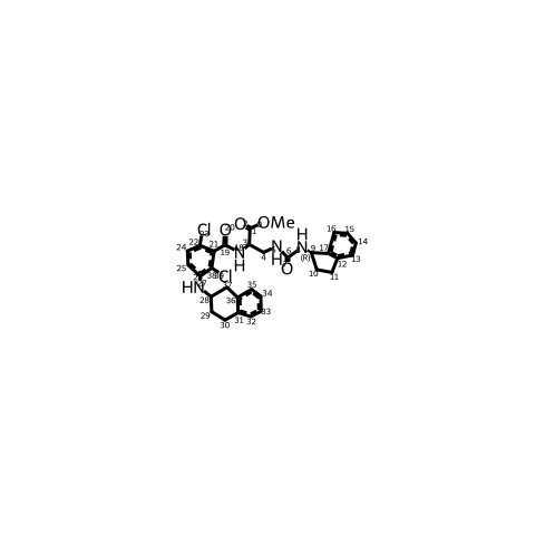 COC(=O)C(CNC(=O)N[C@@H]1CCc2ccccc21)NC(=O)c1c(Cl)ccc(NC2CCc3ccccc3C2)c1Cl